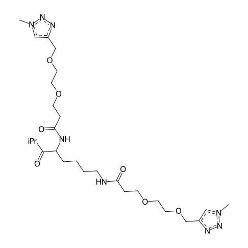 CC(C)C(=O)C(CCCCNC(=O)CCOCCOCc1cn(C)nn1)NC(=O)CCOCCOCc1cn(C)nn1